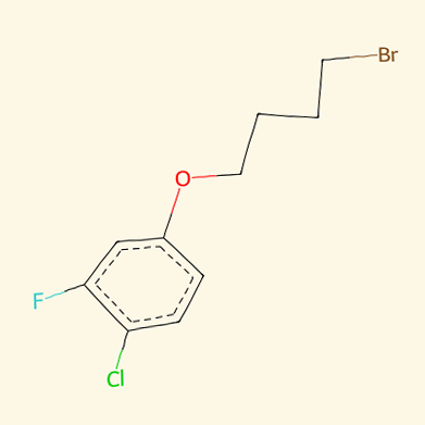 Fc1cc(OCCCCBr)ccc1Cl